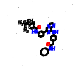 CC(C)(C)c1ccc(C(=O)Nc2cccc(-c3cn4ccnc4c(Nc4ccc(CC(=O)NC5CCCCCCC5)cc4)n3)c2)cc1